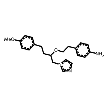 COc1ccc(CCC(Cn2ccnc2)OCCc2ccc(N)cc2)cc1